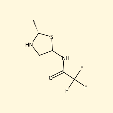 C[C@H]1NCC(NC(=O)C(F)(F)F)S1